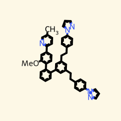 COc1cc(-c2ccc(C)cn2)ccc1-c1ccccc1-c1cc(CCc2ccc(-n3cccn3)cc2)cc(CCc2ccc(-n3cccn3)cc2)c1